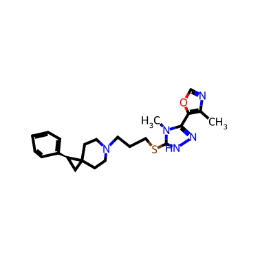 Cc1ncoc1C1=NNC(SCCCN2CCC3(CC2)C[C@H]3c2ccccc2)N1C